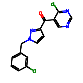 O=C(c1ccn(Cc2cccc(Cl)c2)n1)c1cncnc1Cl